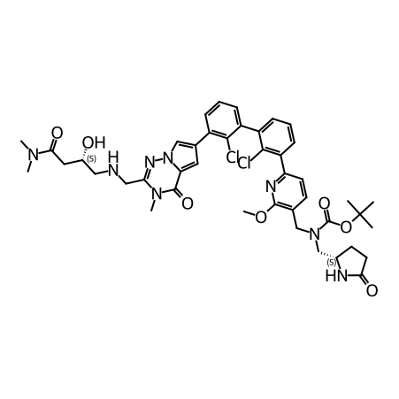 COc1nc(-c2cccc(-c3cccc(-c4cc5c(=O)n(C)c(CNC[C@@H](O)CC(=O)N(C)C)nn5c4)c3Cl)c2Cl)ccc1CN(C[C@@H]1CCC(=O)N1)C(=O)OC(C)(C)C